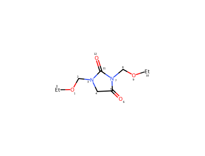 CCOCN1CC(=O)N(COCC)C1=O